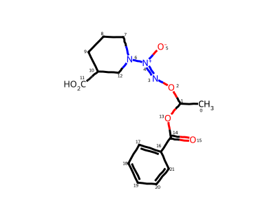 CC(ON=[N+]([O-])N1CCCC(C(=O)O)C1)OC(=O)c1ccccc1